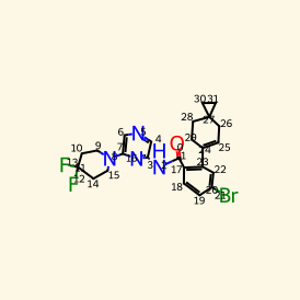 O=C(Nc1cncc(N2CCC(F)(F)CC2)n1)c1ccc(Br)cc1C1=CCC2(CC1)CC2